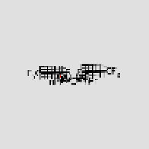 CCCN(CCOCCN(CCC)S(=O)(=O)C(F)(F)C(F)(F)C(F)(F)C(F)(F)C(F)(F)C(F)(F)C(F)(F)C(F)(F)F)S(=O)(=O)C(F)(F)C(F)(F)C(F)(F)C(F)(F)C(F)(F)C(F)(F)C(F)(F)C(F)(F)F